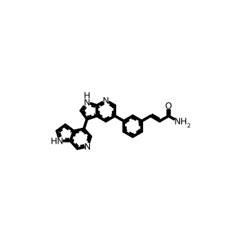 NC(=O)C=Cc1cccc(-c2cnc3[nH]cc(-c4cncc5[nH]ccc45)c3c2)c1